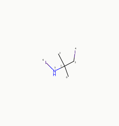 CC(C)(CI)NI